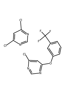 Clc1cc(Cl)ncn1.FC(F)(F)c1cccc(Oc2cc(Cl)ncn2)c1